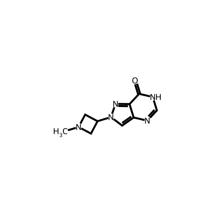 CN1CC(n2cc3nc[nH]c(=O)c3n2)C1